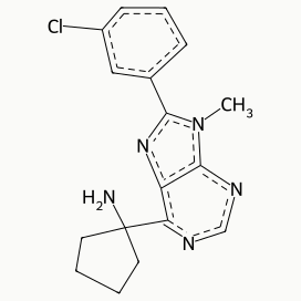 Cn1c(-c2cccc(Cl)c2)nc2c(C3(N)CCCC3)ncnc21